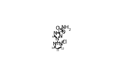 NS(=O)(=O)c1ncn(C2N=CC=CN2Cl)n1